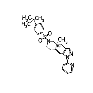 CC(C)(C)c1ccc(S(=O)(=O)N2CCC3=Cc4c(cnn4-c4ccccn4)C[C@]3(C)C2)cc1